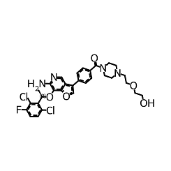 C[C@@H](Oc1c(N)ncc2c(-c3ccc(C(=O)N4CCN(CCOCCO)CC4)cc3)coc12)c1c(Cl)ccc(F)c1Cl